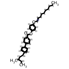 CCCCCCCC/C=C/Oc1ccc(OC(=O)c2ccc(-c3ccc(CC[C@@H](C)CC)cc3)cc2)cc1